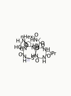 CCCCCCC(=O)NC(C)C(=O)NC1CC2(CS/C=C\NC(=O)C(CO)NC(=O)C(CCC(N)=O)NC2=O)NC(=O)CNC(=O)C(CC(C)C)NC1=O